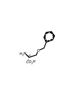 N[C@H](COCc1ccccc1)C(=O)O